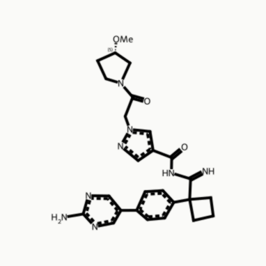 CO[C@H]1CCN(C(=O)Cn2cc(C(=O)NC(=N)C3(c4ccc(-c5cnc(N)nc5)cc4)CCC3)cn2)C1